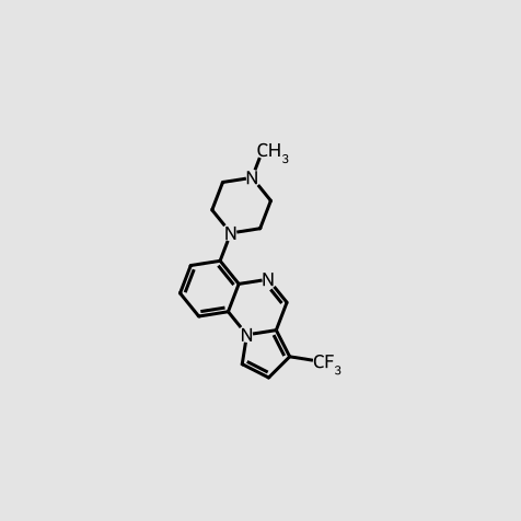 CN1CCN(c2cccc3c2ncc2c(C(F)(F)F)ccn23)CC1